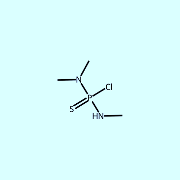 CNP(=S)(Cl)N(C)C